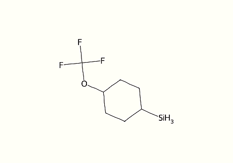 FC(F)(F)OC1CCC([SiH3])CC1